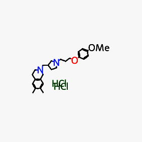 COc1ccc(OCCCN2CCC(CN3CCc4cc(C)c(C)cc4C3)C2)cc1.Cl.Cl